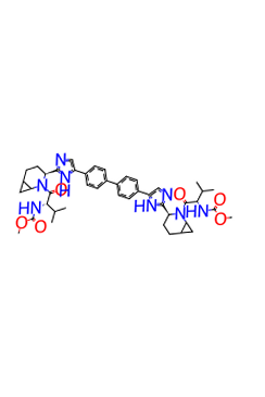 COC(=O)N[C@H](C(=O)N1C2CC2CC[C@H]1c1ncc(-c2ccc(-c3ccc(-c4cnc([C@@H]5CCC6CC6N5C(=O)[C@@H](NC(=O)OC)C(C)C)[nH]4)cc3)cc2)[nH]1)C(C)C